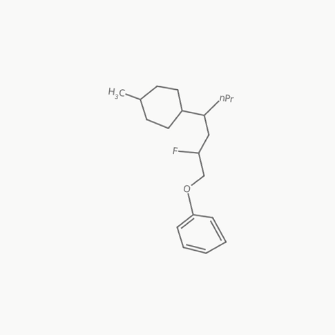 CCCC(CC(F)COc1ccccc1)C1CCC(C)CC1